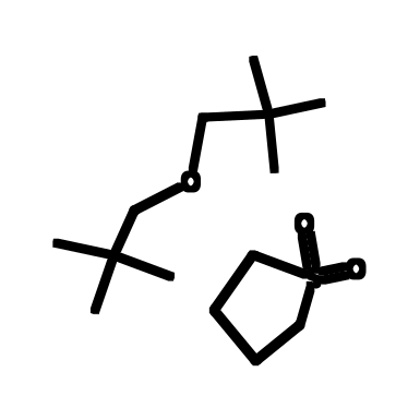 CC(C)(C)COCC(C)(C)C.O=S1(=O)CCCC1